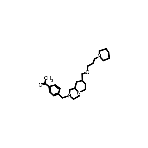 CC(=O)c1ccc(CN2CCN3CCC(COCCCN4CCCCC4)CC3C2)cc1